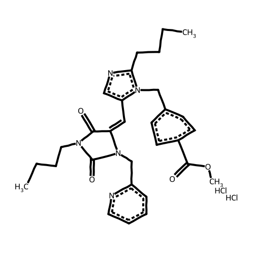 CCCCc1ncc(C=C2C(=O)N(CCCC)C(=O)N2Cc2ccccn2)n1Cc1ccc(C(=O)OC)cc1.Cl.Cl